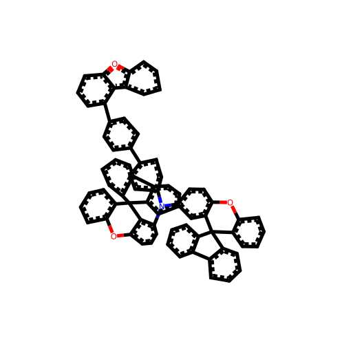 c1ccc2c(c1)Oc1ccc(N(c3ccc(-c4ccc(-c5cccc6oc7ccccc7c56)cc4)cc3)c3cccc4c3C3(c5ccccc5O4)c4ccccc4-c4ccccc43)cc1C21c2ccccc2-c2ccccc21